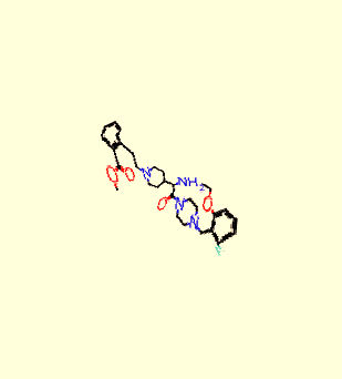 CCOc1cccc(F)c1CN1CCN(C(=O)[C@H](N)C2CCN(CCc3ccccc3C(=O)OC)CC2)CC1